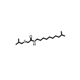 CC(C)CCCCCCCCNC(=O)CSCC(C)C